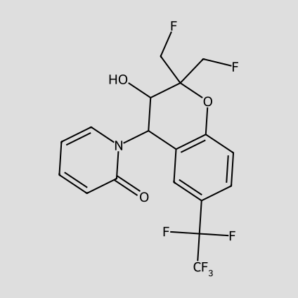 O=c1ccccn1C1c2cc(C(F)(F)C(F)(F)F)ccc2OC(CF)(CF)C1O